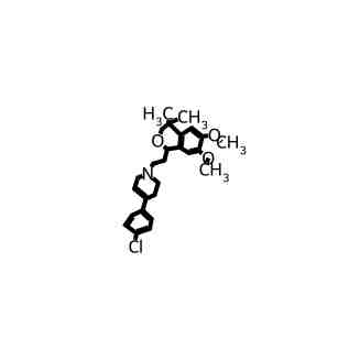 COc1cc2c(cc1OC)C(C)(C)COC2CCN1CC=C(c2ccc(Cl)cc2)CC1